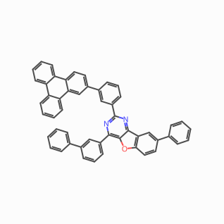 c1ccc(-c2cccc(-c3nc(-c4cccc(-c5ccc6c7ccccc7c7ccccc7c6c5)c4)nc4c3oc3ccc(-c5ccccc5)cc34)c2)cc1